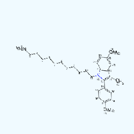 CNCCCCCCCCCCCn1c(-c2ccc(OC)cc2)c(C)c2cc(OC)ccc21